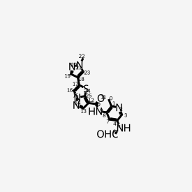 Cc1ncc(NC=O)cc1NC(=O)c1cnn2cc(-c3cnn(C)c3)sc12